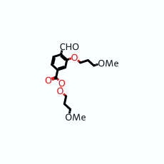 COCCCOOC(=O)c1ccc(C=O)c(OCCCOC)c1